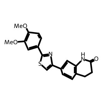 COc1ccc(-c2nc(-c3ccc4c(c3)NC(=O)CC4)cs2)cc1OC